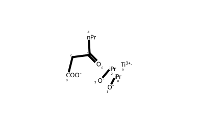 CC(C)[O-].CC(C)[O-].CCCC(=O)CC(=O)[O-].[Ti+3]